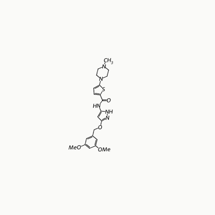 COc1cc(COc2cc(NC(=O)c3ccc(N4CCN(C)CC4)s3)[nH]n2)cc(OC)c1